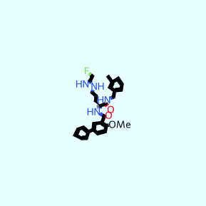 COc1ccc(-c2ccccc2)cc1C(=O)N[C@@H](CCCNC(=N)CF)C(=O)NCc1cccc(C)c1